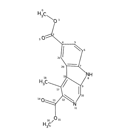 COC(=O)c1ccc2[nH]c3cnc(C(=O)OC)c(C)c3c2c1